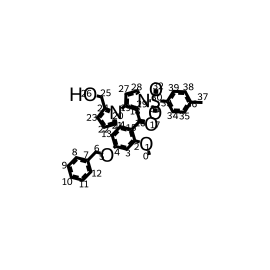 COc1cc(OCc2ccccc2)ccc1C(=O)c1c(-n2cccc2CO)ccn1S(=O)(=O)c1ccc(C)cc1